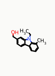 CCn1c2cc(CO)ccc2c2cccc(C)c21